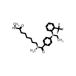 CCN(c1ccc(C(=O)N(C)CCCCCCC(=O)NC)cc1)c1ccccc1C(F)(F)F